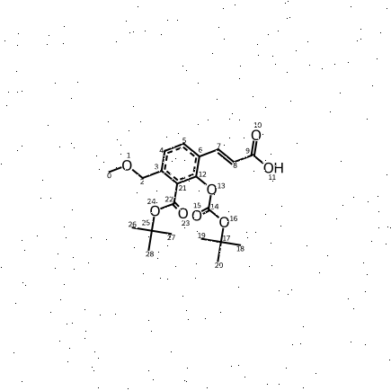 COCc1ccc(/C=C/C(=O)O)c(OC(=O)OC(C)(C)C)c1C(=O)OC(C)(C)C